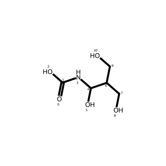 O=C(O)NC(O)C(CO)CO